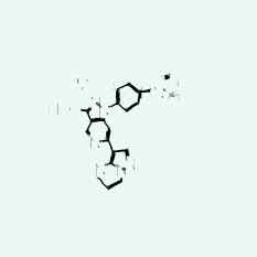 COc1cc(CNS(C)(=O)=O)ccc1-n1nc(C)c2cnc(-c3cnn4cccnc34)cc21